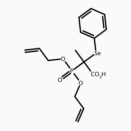 C=CCOP(=O)(OCC=C)C(C)([Se]c1ccccc1)C(=O)O